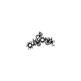 COC(=O)[C@@H]1C[C@H](NC(=O)OC(C)(C)C)C=CC1NC(=O)OCc1ccccc1